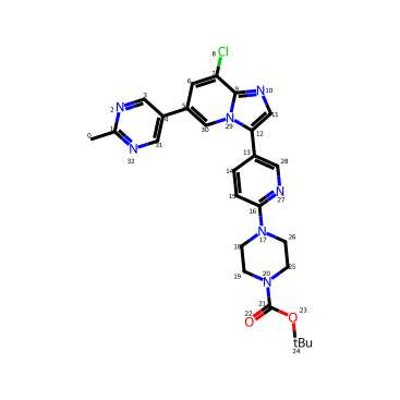 Cc1ncc(-c2cc(Cl)c3ncc(-c4ccc(N5CCN(C(=O)OC(C)(C)C)CC5)nc4)n3c2)cn1